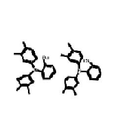 CCC(C)c1ccccc1N(c1ccc(C)c(C)c1)c1ccc(C)c(C)c1.CCC(C)c1ccccc1N(c1ccc(C)c(C)c1)c1ccc(C)c(C)c1